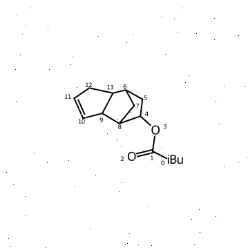 CCC(C)C(=O)OC1CC2CC1C1C=CCC21